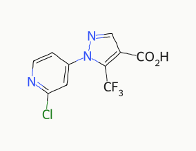 O=C(O)c1cnn(-c2ccnc(Cl)c2)c1C(F)(F)F